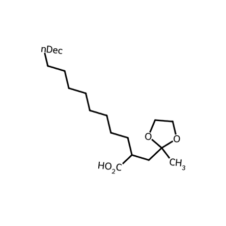 CCCCCCCCCCCCCCCCCCC(CC1(C)OCCO1)C(=O)O